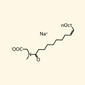 CCCCCCCC/C=C\CCCCCCCC(=O)N(C)CC(=O)[O-].[Na+]